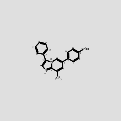 CC(C)(C)c1ccc(-c2cc(C(F)(F)F)c3ncc(-c4ccccc4)n3c2)cc1